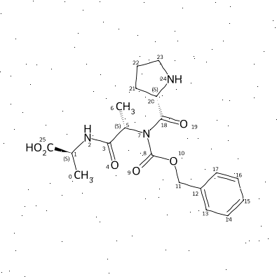 C[C@H](NC(=O)[C@H](C)N(C(=O)OCc1ccccc1)C(=O)[C@@H]1CCCN1)C(=O)O